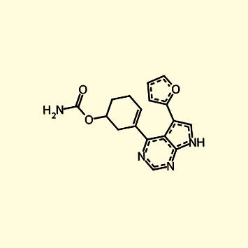 NC(=O)OC1CCC=C(c2ncnc3[nH]cc(-c4ccco4)c23)C1